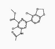 COC(=O)c1nc(-c2ccc3c(c2Cl)OCO3)cc(NC(C)=O)c1Cl